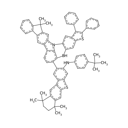 CC(C)(C)c1ccc(Nc2cc3sc4cc5c(cc4c3cc2-c2ccc3c4cc6c(cc4n4c3c2Bc2cc3sc(-c7ccccc7)c(-c7ccccc7)c3cc2-4)C(C)(C)c2ccccc2-6)C(C)(C)CCC5(C)C)cc1